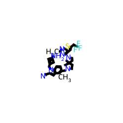 Cc1nc(N2CCC3(CCN(Cc4ccc5c(cc(C#N)n5CC56CC(N)(C5)C6)c4C)C3)C2)c2cc(CC(F)(F)F)sc2n1